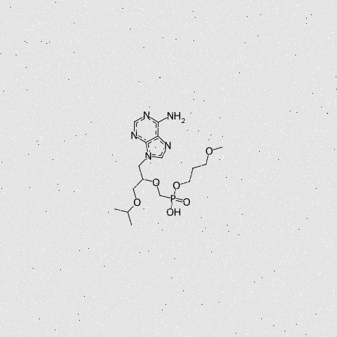 COCCCOP(=O)(O)COC(COC(C)C)Cn1cnc2c(N)ncnc21